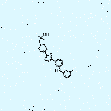 Cc1ccnc(Nc2cccc(-c3cnc(N4CCC(CC(C)(C)O)CC4)s3)n2)c1